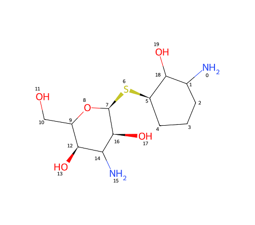 NC1CCC[C@@H](S[C@@H]2OC(CO)[C@H](O)C(N)[C@@H]2O)C1O